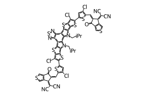 CC(C)Cn1c2c3sc(-c4cc(Cl)c(/C=C5\C(=O)c6cscc6C5=C(C#N)C#N)s4)c(Cl)c3sc2c2c3nsnc3c3c4sc5c(Cl)c(-c6cc(Cl)c(/C=C7\C(=O)c8cscc8C7=C(C#N)C#N)s6)sc5c4n(CC(C)C)c3c21